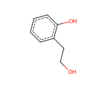 OCCc1cc[c]cc1O